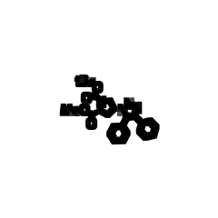 COC(=O)[C@@H]1C[C@@H](n2nnc(-c3ccccc3)c2-c2ccccc2)CN1C(=O)OC(C)(C)C